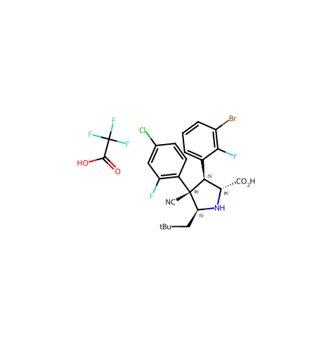 CC(C)(C)C[C@@H]1N[C@@H](C(=O)O)[C@H](c2cccc(Br)c2F)[C@@]1(C#N)c1ccc(Cl)cc1F.O=C(O)C(F)(F)F